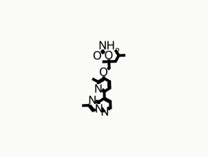 Cc1cn2nccc(-c3ccc(OCC(C)(CC(C)C)OC(N)=O)c(C)n3)c2n1